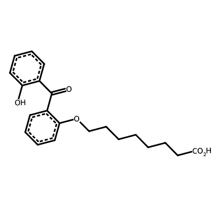 O=C(O)CCCCCCCOc1ccccc1C(=O)c1ccccc1O